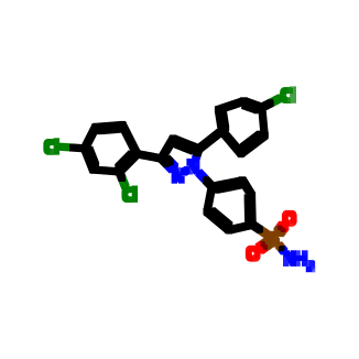 NS(=O)(=O)c1ccc(-n2nc(-c3ccc(Cl)cc3Cl)cc2-c2ccc(Cl)cc2)cc1